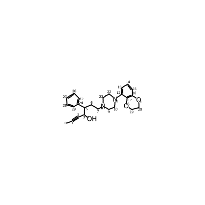 CC#CC(O)C(CCN1CCN(c2cccc3c2OCCO3)CC1)c1ccccc1